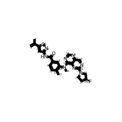 C=C(C)c1cc(NC(=O)c2ccc(C)c(N(C)c3ncnc4cnc(N5CC[C@H](F)C5)nc34)c2)no1